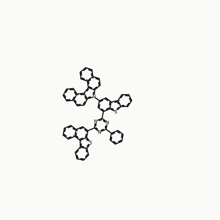 c1ccc(-c2nc(-c3cc(-n4c5ccc6ccccc6c5c5c6ccccc6ccc54)cc4c3sc3ccccc34)nc(-c3cc4ccccc4c4c3sc3ccccc34)n2)cc1